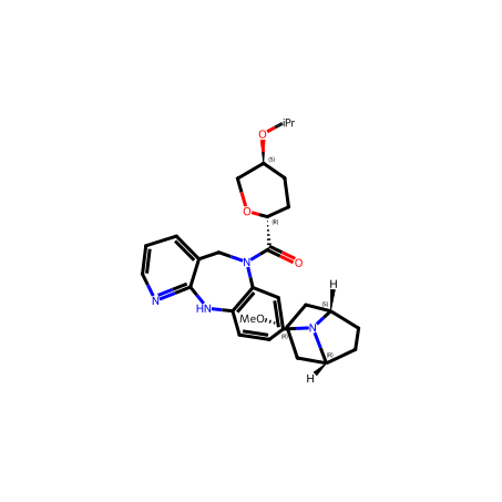 CO[C@H]1C[C@H]2CC[C@@H](C1)N2c1ccc2c(c1)N(C(=O)[C@H]1CC[C@H](OC(C)C)CO1)Cc1cccnc1N2